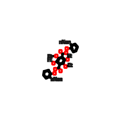 CCCCCCCCCc1ccccc1OOC(=O)c1c(OCC)c(OCC)c(C(=O)OOc2ccccc2CCCCCCCCC)c(OCC)c1OCC